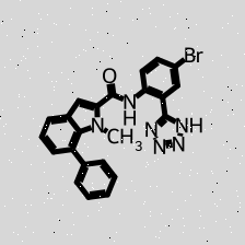 Cn1c(C(=O)Nc2ccc(Br)cc2-c2nnn[nH]2)cc2cccc(-c3ccccc3)c21